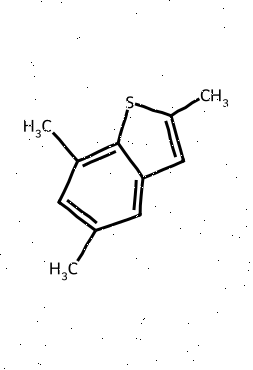 Cc1cc(C)c2sc(C)cc2c1